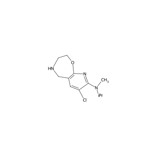 CC(C)N(C)c1nc2c(cc1Cl)CNCCO2